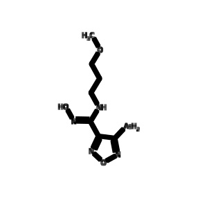 COCCCN/C(=N\O)c1nonc1[AsH2]